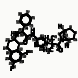 CC(C)(C(=O)N1C[C@H]2CCC[C@@H]1C2)n1cnc(NC(=O)[C@@H](NC2CCc3cc(F)cc(F)c3C2)c2ccccc2)c1